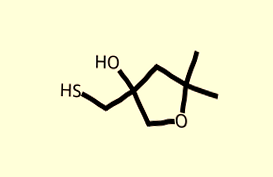 CC1(C)CC(O)(CS)CO1